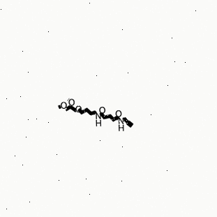 C#CCNC(=O)CCCC(=O)NCCCCOCC(COC)OC